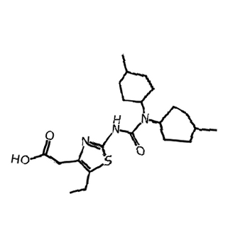 CCc1sc(NC(=O)N(C2CCC(C)CC2)C2CCC(C)CC2)nc1CC(=O)O